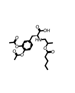 CCCCC(=O)OC(C)CN[C@@H](Cc1ccc(OC(C)=O)c(OC(C)=O)c1)C(=O)O